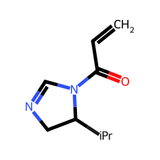 C=CC(=O)N1C=NCC1C(C)C